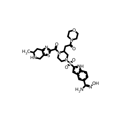 CC1Cc2nc(C(=O)N3CCN(S(=O)(=O)c4cc5cc(/C(N)=N\O)ccc5[nH]4)CC3CC(=O)N3CCOCC3)sc2CN1